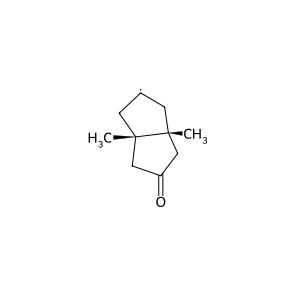 C[C@@]12C[CH]C[C@]1(C)CC(=O)C2